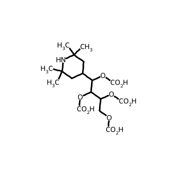 CC1(C)CC(C(OC(=O)O)C(OC(=O)O)C(COC(=O)O)OC(=O)O)CC(C)(C)N1